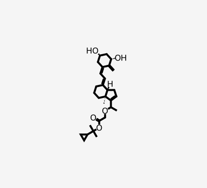 C=C1/C(=C\C=C2/CCC[C@]3(C)C(C(C)OCC(=O)OC(C)(C)C4CC4)=CC[C@@H]23)C[C@@H](O)C[C@@H]1O